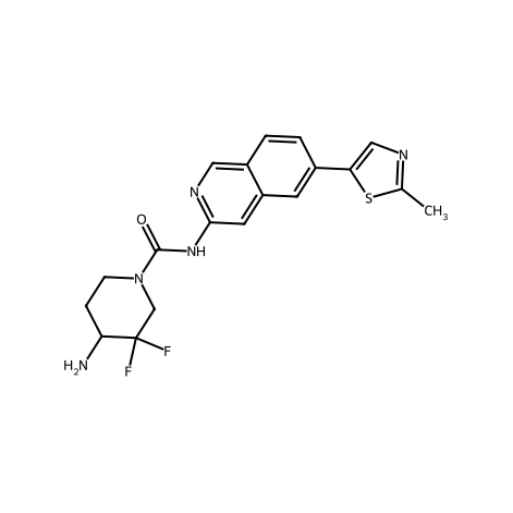 Cc1ncc(-c2ccc3cnc(NC(=O)N4CCC(N)C(F)(F)C4)cc3c2)s1